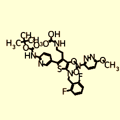 COc1ccc(-n2oc3c(CCNC(=O)O)c(-c4ccc(NC(=O)OC(C)(C)C)nc4)sc3n(Cc3c(F)cccc3F)o2)nn1